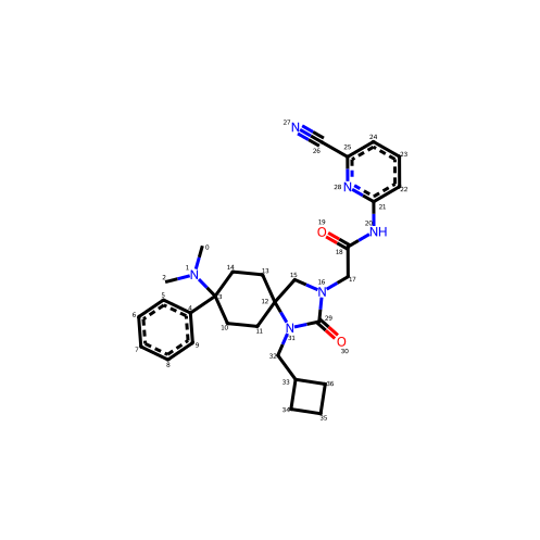 CN(C)C1(c2ccccc2)CCC2(CC1)CN(CC(=O)Nc1cccc(C#N)n1)C(=O)N2CC1CCC1